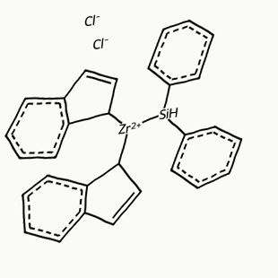 C1=C[CH]([Zr+2]([CH]2C=Cc3ccccc32)[SiH](c2ccccc2)c2ccccc2)c2ccccc21.[Cl-].[Cl-]